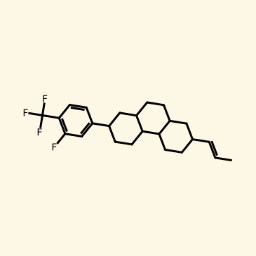 C/C=C/C1CCC2C(CCC3CC(c4ccc(C(F)(F)F)c(F)c4)CCC32)C1